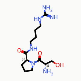 N=C(N)NCCCCNC(=O)[C@@H]1CCCN1C(=O)[C@@H](N)CO